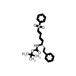 CC(C)(C)OC(=O)N[C@H](/C=C/C=C/S(=O)(=O)c1ccccc1)CCc1ccccc1